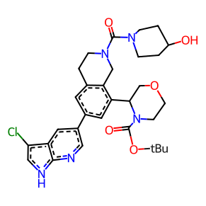 CC(C)(C)OC(=O)N1CCOCC1c1cc(-c2cnc3[nH]cc(Cl)c3c2)cc2c1CN(C(=O)N1CCC(O)CC1)CC2